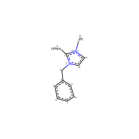 CCCCCCc1n(Cc2ccccc2)cc[n+]1C(C)C